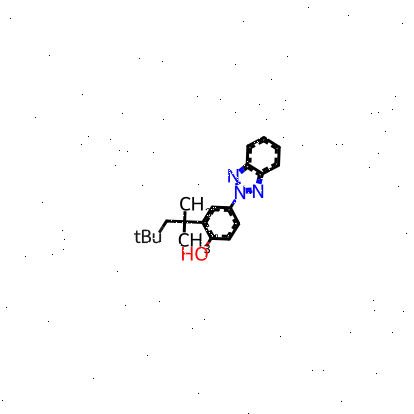 CC(C)(C)CC(C)(C)c1cc(-n2nc3ccccc3n2)ccc1O